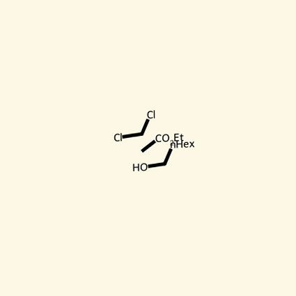 CCCCCCCO.CCOC(C)=O.ClCCl